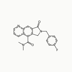 CN(C)C(=O)c1c2c(cc3ncccc13)C(=O)N(Cc1ccc(F)cc1)C2